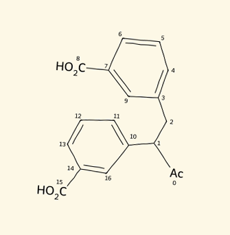 CC(=O)C(Cc1cccc(C(=O)O)c1)c1cccc(C(=O)O)c1